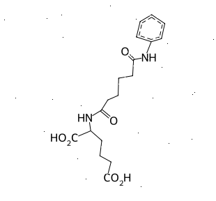 O=C(O)CCCC(NC(=O)CCCCC(=O)Nc1ccccc1)C(=O)O